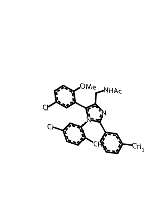 COc1ccc(Cl)cc1-c1c(CNC(C)=O)nc(-c2cccc(C)c2)n1-c1cc(Cl)ccc1C